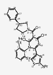 CCc1cccc(CC)c1-n1c(-c2csc(C(C)C)n2)nc(=O)c(C(=O)N2CC[C@@H](c3ccccc3)C2)c1O